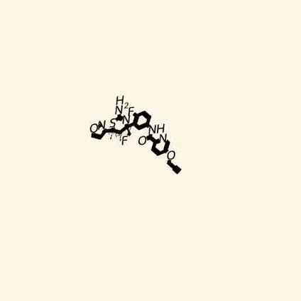 C#CCOc1ccc(C(=O)Nc2ccc(F)c([C@@]3(CF)N=C(N)S[C@](C)(c4ccon4)[C@H]3C)c2)nc1